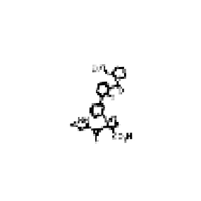 CCOC[C@@H]1CCCN1C(=O)c1cccc(-c2cccc(-n3ncc(C(=O)O)c3C3=C(C)[C@H]3c3cn(C)nn3)c2)c1F